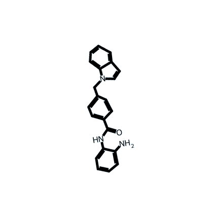 Nc1ccccc1NC(=O)c1ccc(Cn2ccc3ccccc32)cc1